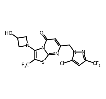 O=c1cc(Cn2nc(C(F)(F)F)cc2Cl)nc2sc(C(F)(F)F)c(N3CC(O)C3)n12